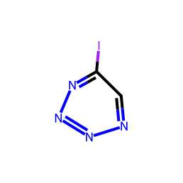 Ic1cnnnn1